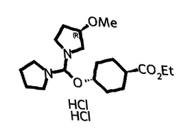 CCOC(=O)[C@H]1CC[C@H](OC(N2CCCC2)N2CC[C@@H](OC)C2)CC1.Cl.Cl